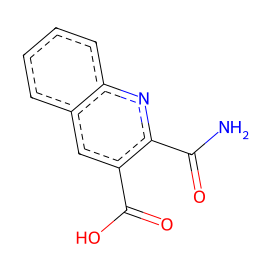 NC(=O)c1nc2ccccc2cc1C(=O)O